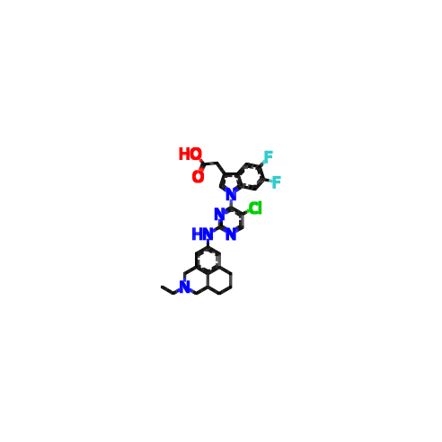 CCN1Cc2cc(Nc3ncc(Cl)c(-n4cc(CC(=O)O)c5cc(F)c(F)cc54)n3)cc3c2C(CCC3)C1